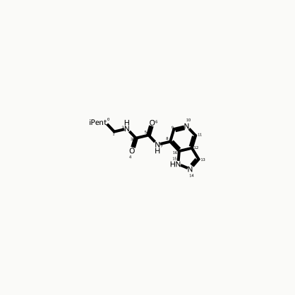 CCCC(C)CNC(=O)C(=O)Nc1cncc2cn[nH]c12